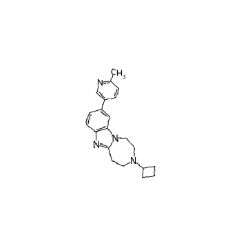 Cc1ccc(-c2ccc3nc4n(c3c2)CCN(C2CCC2)CC4)cn1